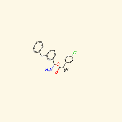 CC(C)C(C(=O)OC(N)c1cccc(Cc2ccccc2)c1)c1ccc(Cl)cc1